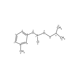 Cc1cccc(OP(Cl)OCC(C)C)c1